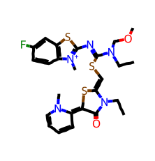 CCN(COC)/C(=N/c1sc2cc(F)ccc2[n+]1C)S/C=c1\s/c(=C2/C=CC=CN2C)c(=O)n1CC